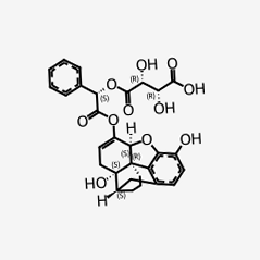 O=C(OC1=CC[C@]2(O)[C@H]3CCC[C@]24c2c(ccc(O)c2O[C@H]14)C3)[C@@H](OC(=O)[C@H](O)[C@@H](O)C(=O)O)c1ccccc1